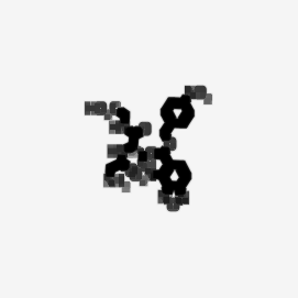 NCC(=O)N[C@@H](CS)C(=O)NCC(=O)O.O=C(OCc1ccc([N+](=O)[O-])cc1)c1ccc2nonc2c1[N+](=O)[O-]